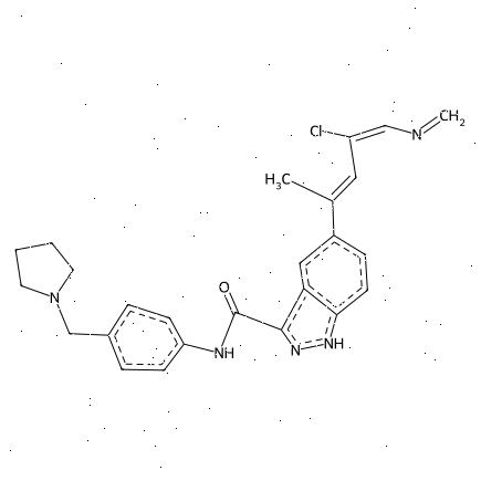 C=N/C=C(Cl)\C=C(/C)c1ccc2[nH]nc(C(=O)Nc3ccc(CN4CCCC4)cc3)c2c1